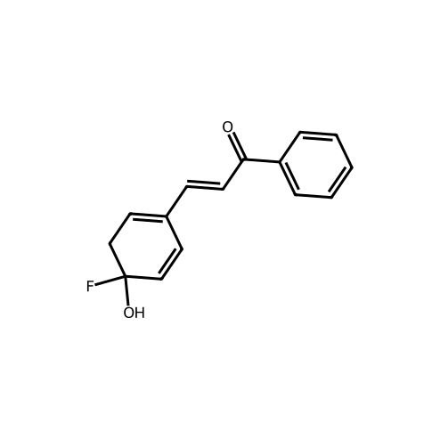 O=C(C=CC1=CCC(O)(F)C=C1)c1ccccc1